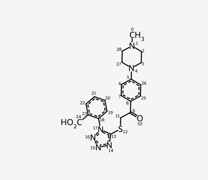 CN1CCN(c2ccc(C(=O)CSc3nnnn3-c3ccccc3C(=O)O)cc2)CC1